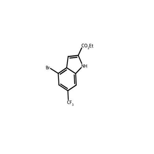 CCOC(=O)c1cc2c(Br)cc(C(F)(F)F)cc2[nH]1